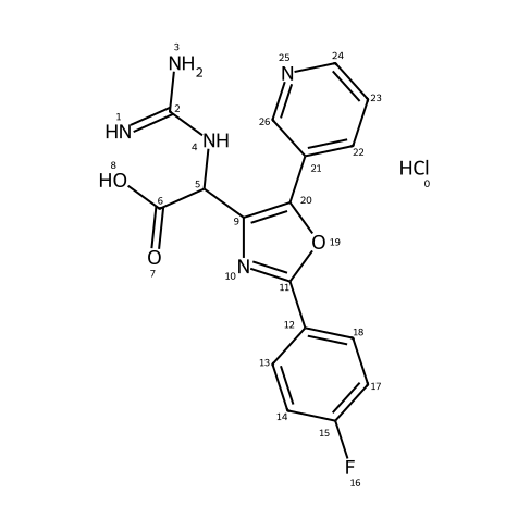 Cl.N=C(N)NC(C(=O)O)c1nc(-c2ccc(F)cc2)oc1-c1cccnc1